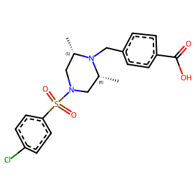 C[C@@H]1CN(S(=O)(=O)c2ccc(Cl)cc2)C[C@H](C)N1Cc1ccc(C(=O)O)cc1